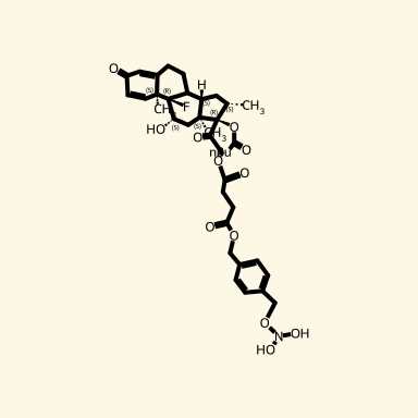 CCCCC(=O)O[C@]1(C(=O)COC(=O)CCC(=O)OCc2ccc(CON(O)O)cc2)[C@@H](C)C[C@H]2C3CCC4=CC(=O)C=C[C@]4(C)[C@@]3(F)[C@@H](O)C[C@@]21C